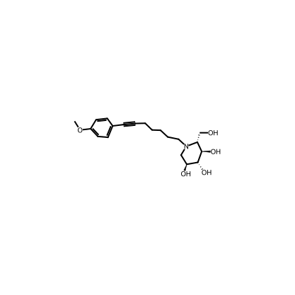 COc1ccc(C#CCCCCCN2C[C@H](O)[C@@H](O)[C@H](O)[C@H]2CO)cc1